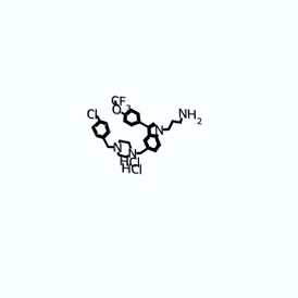 Cl.Cl.NCCCn1cc(-c2ccc(OC(F)(F)F)cc2)c2cc(CN3CCN(Cc4ccc(Cl)cc4)CC3)ccc21